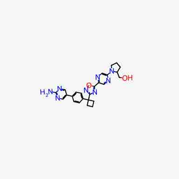 Nc1ncc(-c2ccc(C3(c4noc(-c5cnc(N6CCCC6CO)cn5)n4)CCC3)cc2)cn1